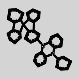 c1ccc(N2c3ccccc3N(c3ccc4c(c3)-c3ccccc3C43c4ccccc4-c4ccccc43)c3ccccc32)cc1